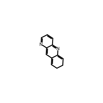 C1=c2cc3ncccc3nc2=CCC1